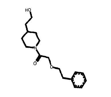 O=C(COCCc1ccccc1)N1CCC(CCO)CC1